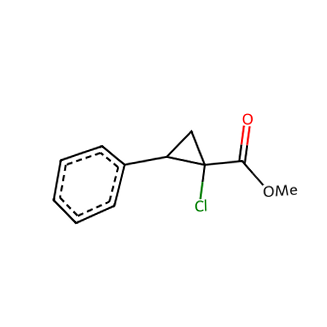 COC(=O)C1(Cl)CC1c1ccccc1